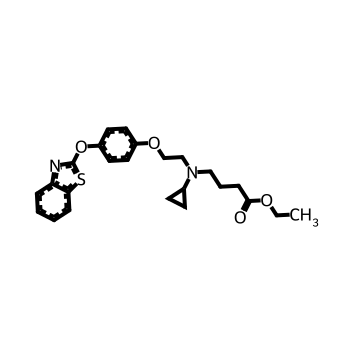 CCOC(=O)CCCN(CCOc1ccc(Oc2nc3ccccc3s2)cc1)C1CC1